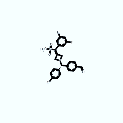 CS(=O)(=O)C(=C1CN([C@@H](c2ccc(Cl)cc2)c2ccc(C=O)cc2)C1)c1cc(F)cc(F)c1